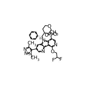 Cc1nnn(C)c1-c1cnc2c3c(OCC(F)F)ncc(S(C)(=O)=O)c3n([C@H](c3ccccc3)C3CCOCC3)c2c1